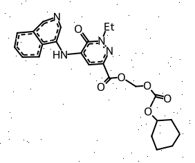 CCn1nc(C(=O)OCOC(=O)OC2CCCCC2)cc(Nc2cncc3ccccc23)c1=O